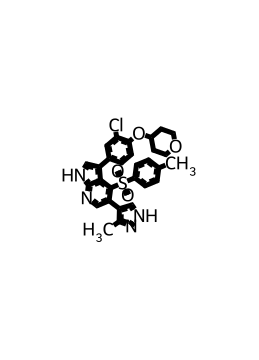 Cc1ccc(S(=O)(=O)c2c(-c3c[nH]nc3C)cnc3[nH]cc(-c4ccc(OC5CCOCC5)c(Cl)c4)c23)cc1